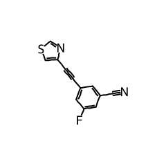 N#Cc1cc(F)cc(C#Cc2cscn2)c1